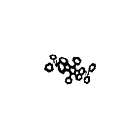 C1=CCCC(C2=C3C(=C(C4=CC=CCC4)C4C2C2=CC=CC5C(N(C6=CCCC=C6)C6C=CC=CC6)=CCC4C25)C2=c4c3ccc(N(C3=CCCC=C3)C3C=CC=CC3)c4=CCC2)=C1